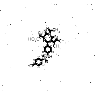 Cc1sc2c(c1C)C(c1ccc(NS(=O)(=O)c3ccc(Cl)cc3)cc1)=NC([C@H](C)C(=O)O)c1nnc(C)n1-2